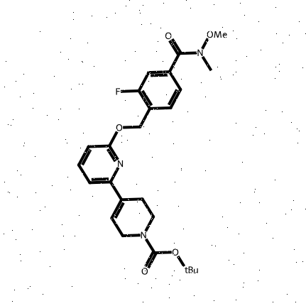 CON(C)C(=O)c1ccc(COc2cccc(C3=CCN(C(=O)OC(C)(C)C)CC3)n2)c(F)c1